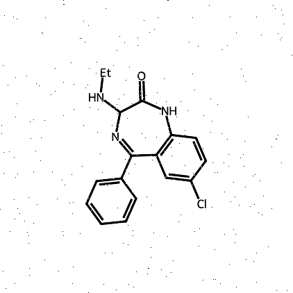 CCNC1N=C(c2ccccc2)c2cc(Cl)ccc2NC1=O